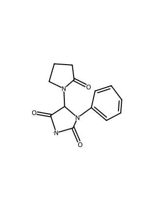 O=C1[N]C(=O)N(c2ccccc2)C1N1CCCC1=O